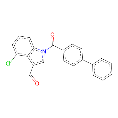 O=Cc1cn(C(=O)c2ccc(-c3ccccc3)cc2)c2cccc(Cl)c12